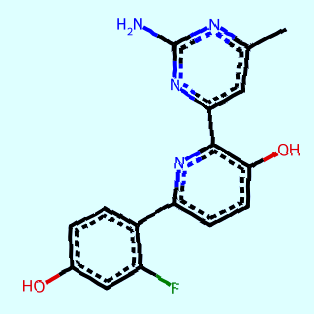 Cc1cc(-c2nc(-c3ccc(O)cc3F)ccc2O)nc(N)n1